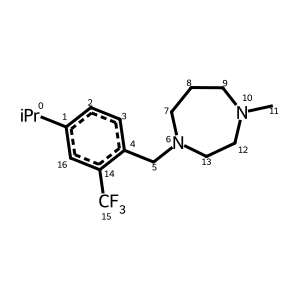 CC(C)c1ccc(CN2CCCN(C)CC2)c(C(F)(F)F)c1